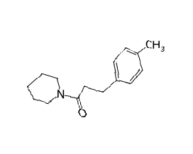 Cc1ccc(CCC(=O)N2CCCCC2)cc1